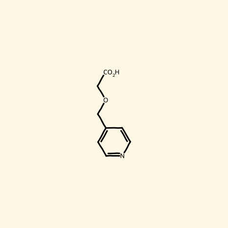 O=C(O)COCc1ccncc1